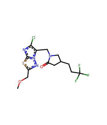 COCc1nn2c(CN3CC(CCC(F)(F)F)CC3=O)c(Cl)nc2s1